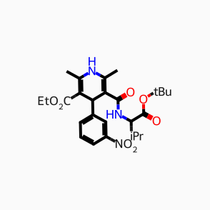 CCOC(=O)C1=C(C)NC(C)=C(C(=O)NC(C(=O)OC(C)(C)C)C(C)C)C1c1cccc([N+](=O)[O-])c1